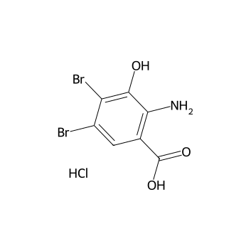 Cl.Nc1c(C(=O)O)cc(Br)c(Br)c1O